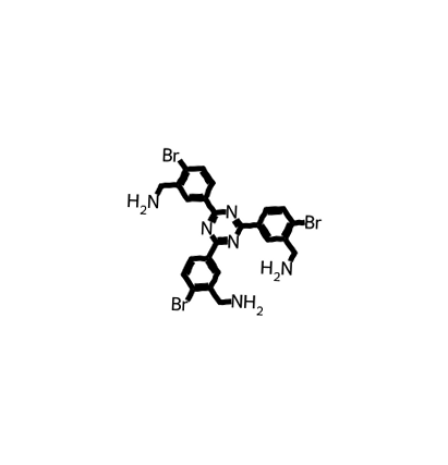 NCc1cc(-c2nc(-c3ccc(Br)c(CN)c3)nc(-c3ccc(Br)c(CN)c3)n2)ccc1Br